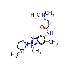 Cc1cc2c(cc1NC(=O)/C=C\CN(C)C)nc(N1CCC[C@@H](C)C1)n2C